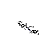 COCCOc1ccc(NC(=O)/C(=C/C=C/c2cc3cc(Cl)c(Cl)cc3[nH]2)OC)cn1